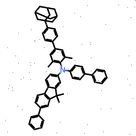 Cc1cc(-c2ccc(C34CC5CC(CC(C5)C3)C4)cc2)cc(C)c1N(c1ccc(-c2ccccc2)cc1)c1ccc2c(c1)C(C)(C)c1cc(-c3ccccc3)ccc1-2